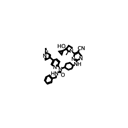 C[C@@H]1N(c2nc(NC3CCC(N(C(=O)NCc4ccccc4)c4ccc(-c5cnn(C)c5)cn4)CC3)ncc2C#N)CC[C@@]1(O)C1CC1